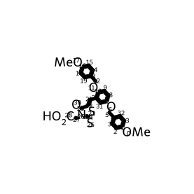 COc1ccc(COc2ccc(OCc3ccc(OC)cc3)c(C=C3SC(=S)N(CC(=O)O)C3=O)c2)cc1